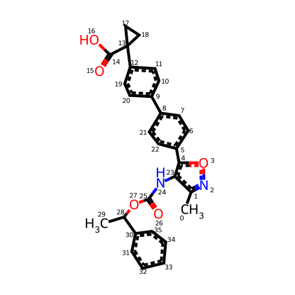 Cc1noc(-c2ccc(-c3ccc(C4(C(=O)O)CC4)cc3)cc2)c1NC(=O)OC(C)c1ccccc1